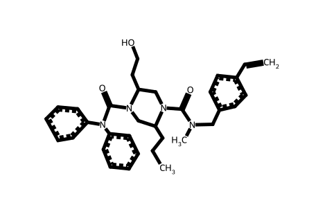 C=Cc1ccc(CN(C)C(=O)N2CC(CCO)N(C(=O)N(c3ccccc3)c3ccccc3)CC2CCC)cc1